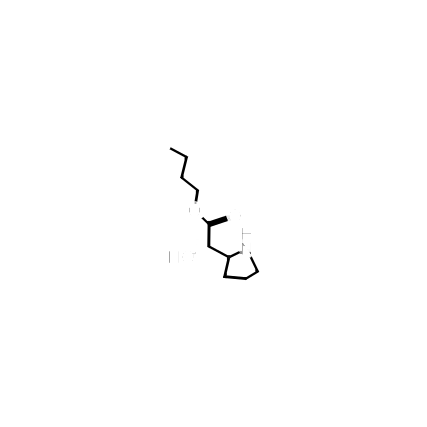 CCCCOC(=O)[C@@H](O)C1CCCN1